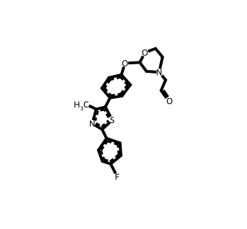 Cc1nc(-c2ccc(F)cc2)sc1-c1ccc(OC2CN(CC=O)CCO2)cc1